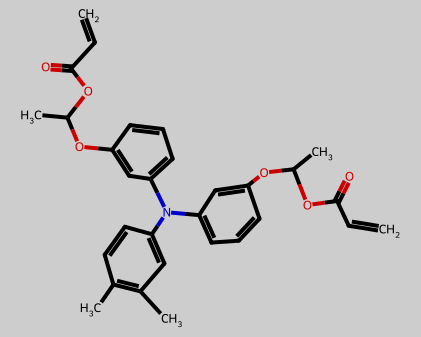 C=CC(=O)OC(C)Oc1cccc(N(c2cccc(OC(C)OC(=O)C=C)c2)c2ccc(C)c(C)c2)c1